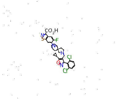 O=C(O)c1nsc2cc(N3C4CCC3C3(CCN(Cc5c(-c6c(Cl)cccc6Cl)noc5C5CC5)C3)C4)c(F)cc12